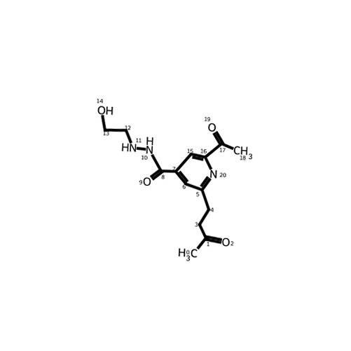 CC(=O)CCc1cc(C(=O)NNCCO)cc(C(C)=O)n1